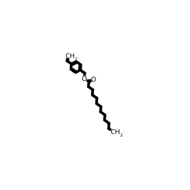 [CH2]CCCCCCCCCCCC(=O)OCc1ccc(C=C)cc1